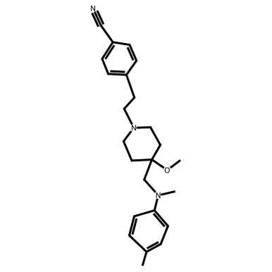 COC1(CN(C)c2ccc(C)cc2)CCN(CCc2ccc(C#N)cc2)CC1